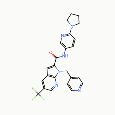 O=C(Nc1ccc(N2CCCC2)nc1)c1cc2cc(C(F)(F)F)cnc2n1Cc1ccncc1